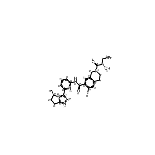 CC(C)C[C@H](O)C(=O)N1CCc2cc(F)c(C(=O)Nc3cccc(-c4nnc5n4[C@H](C)CC5)n3)cc2C1